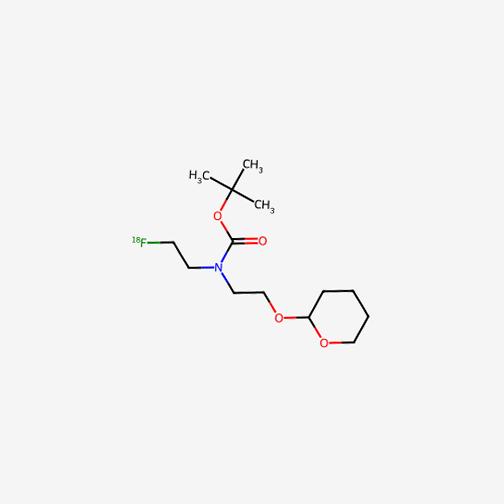 CC(C)(C)OC(=O)N(CC[18F])CCOC1CCCCO1